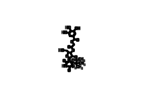 CC(C)(C)[Si](C)(C)OC1C(OC(=O)COC(=O)c2cc(O)c(O)c(O)c2)C(CO)OC1n1ccc(=O)[nH]c1=O